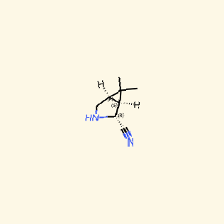 CC1(C)[C@H]2[C@H](C#N)NC[C@H]21